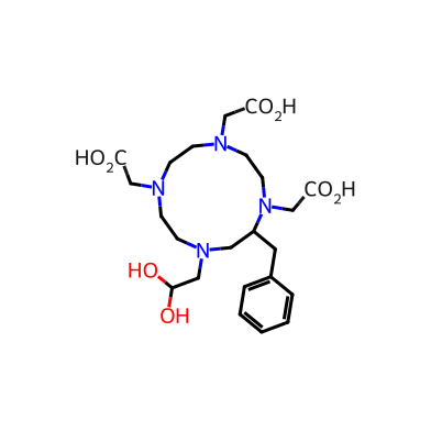 O=C(O)CN1CCN(CC(=O)O)CCN(CC(=O)O)C(Cc2ccccc2)CN(CC(O)O)CC1